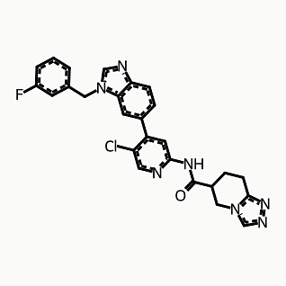 O=C(Nc1cc(-c2ccc3ncn(Cc4cccc(F)c4)c3c2)c(Cl)cn1)C1CCc2nncn2C1